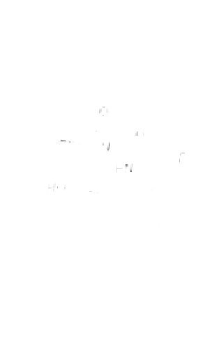 O=C(O)[C@@H]1[C@@H](CCc2ccccc2)C(=O)N1C(=O)N[C@H](CF)C1CCCCC1